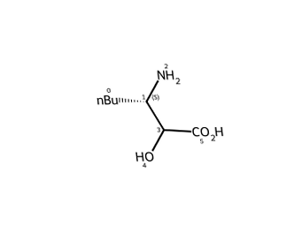 CCCC[C@H](N)C(O)C(=O)O